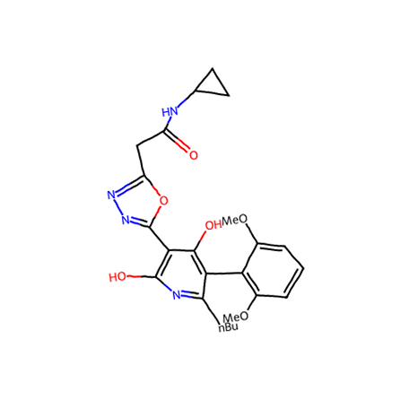 CCCCc1nc(O)c(-c2nnc(CC(=O)NC3CC3)o2)c(O)c1-c1c(OC)cccc1OC